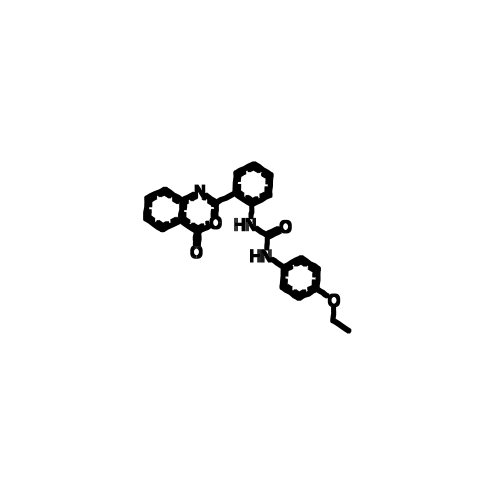 CCOc1ccc(NC(=O)Nc2ccccc2-c2nc3ccccc3c(=O)o2)cc1